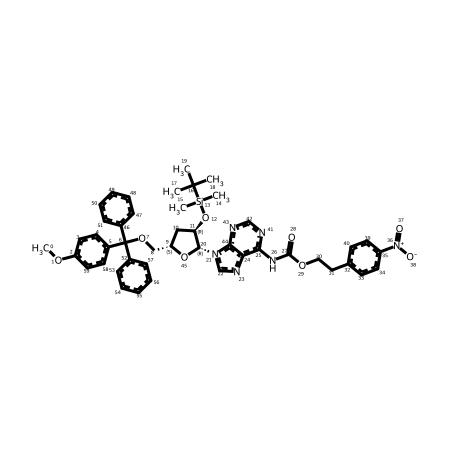 COc1ccc(C(OC[C@@H]2C[C@@H](O[Si](C)(C)C(C)(C)C)[C@H](n3cnc4c(NC(=O)OCCc5ccc([N+](=O)[O-])cc5)ncnc43)O2)(c2ccccc2)c2ccccc2)cc1